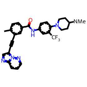 CNC1CCN(c2ccc(NC(=O)c3ccc(C)c(C#Cc4cnc5cccnn45)c3)cc2C(F)(F)F)CC1